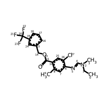 CCN(C)/C=N/c1cc(C)c(C(=O)OCc2cccc(C(F)(F)F)c2)cc1Cl